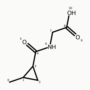 CC1CC1C(=O)NCC(=O)O